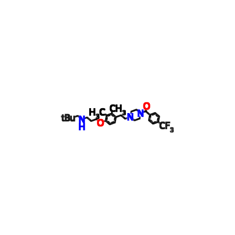 Cc1c(CCN2CCN(C(=O)c3ccc(C(F)(F)F)cc3)CC2)ccc(OCCCNCC(C)(C)C)c1C